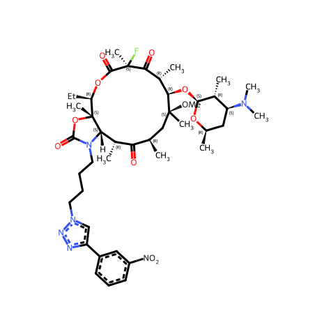 CC[C@H]1OC(=O)[C@@](C)(F)C(=O)[C@H](C)[C@@H](O[C@@H]2O[C@H](C)C[C@H](N(C)C)[C@H]2C)[C@@](C)(OC)C[C@@H](C)C(=O)[C@H](C)[C@@H]2N(CCCCn3cc(-c4cccc([N+](=O)[O-])c4)nn3)C(=O)O[C@@]21C